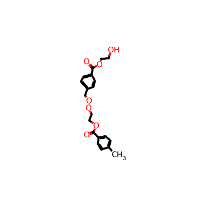 Cc1ccc(C(=O)OCCOOCc2ccc(C(=O)OCCO)cc2)cc1